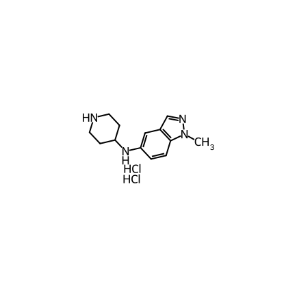 Cl.Cl.Cn1ncc2cc(NC3CCNCC3)ccc21